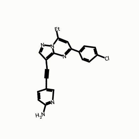 CCc1cc(-c2ccc(Cl)cc2)nc2c(C#Cc3ccc(N)nc3)cnn12